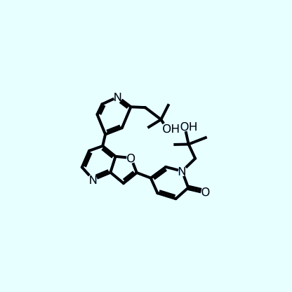 CC(C)(O)Cc1cc(-c2ccnc3cc(-c4ccc(=O)n(CC(C)(C)O)c4)oc23)ccn1